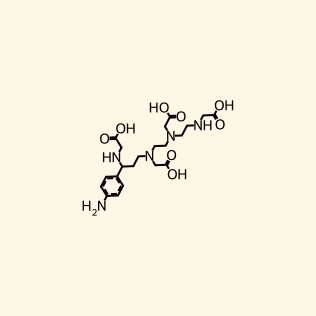 Nc1ccc(C(CCN(CCN(CCNCC(=O)O)CC(=O)O)CC(=O)O)NCC(=O)O)cc1